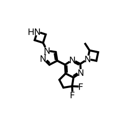 CC1CCN1c1nc(-c2cnn(C3CNC3)c2)c2c(n1)C(F)(F)CC2